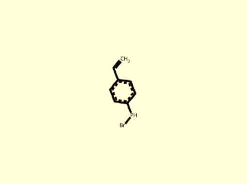 C=Cc1ccc(PBr)cc1